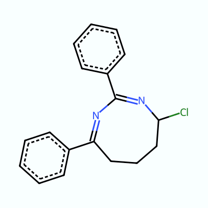 ClC1CCC/C(c2ccccc2)=N\C(c2ccccc2)=N/1